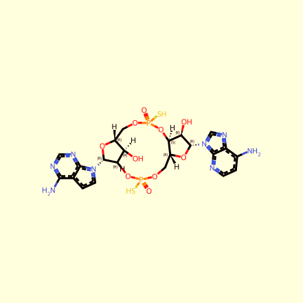 Nc1ncnc2c1ccn2[C@@H]1O[C@@H]2COP(=O)(S)O[C@H]3[C@@H](O)[C@H](n4cnc5c(N)ccnc54)O[C@@H]3COP(=O)(S)O[C@@H]1[C@@H]2O